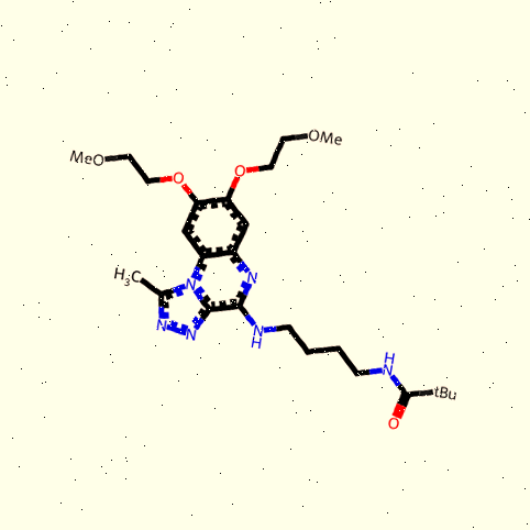 COCCOc1cc2nc(NCCCCNC(=O)C(C)(C)C)c3nnc(C)n3c2cc1OCCOC